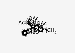 C=CC[C@@H]1CCC2(OC)O[C@H]3C(OCc4ccccc4)C(CC(C)(COC(C)=O)OC(C)=O)OC3[C@H](OC(C)=O)[C@H]2O1